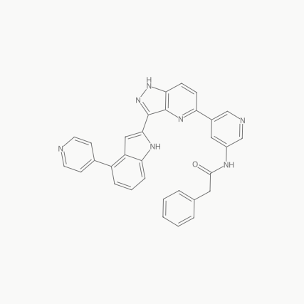 O=C(Cc1ccccc1)Nc1cncc(-c2ccc3[nH]nc(-c4cc5c(-c6ccncc6)cccc5[nH]4)c3n2)c1